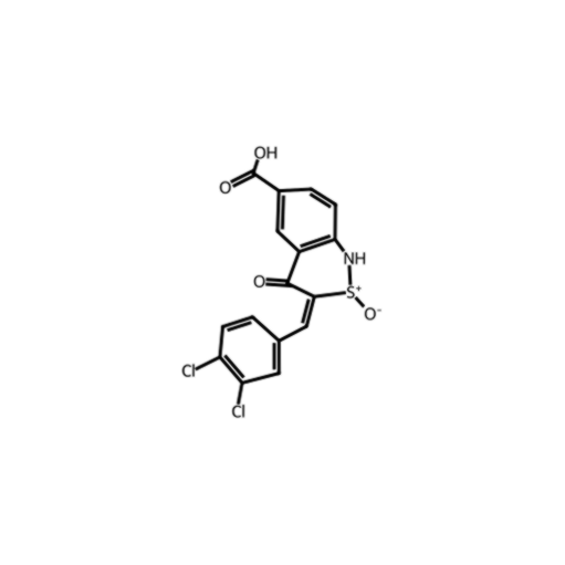 O=C(O)c1ccc2c(c1)C(=O)/C(=C\c1ccc(Cl)c(Cl)c1)[S+]([O-])N2